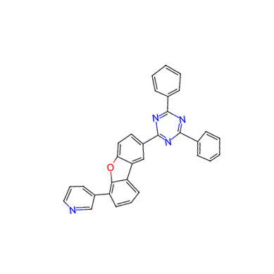 c1ccc(-c2nc(-c3ccccc3)nc(-c3ccc4oc5c(-c6cccnc6)cccc5c4c3)n2)cc1